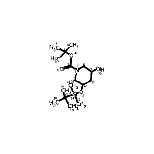 CC(C)(C)OC(=O)N1CC(O)CC(O[Si](C)(C)C(C)(C)C)C1